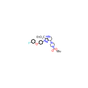 CCOC(=O)c1c2c(nn1-c1ccc(Oc3cccc(F)c3)cc1)C(N1CCN(C(=O)OC(C)(C)C)CC1)CCN2